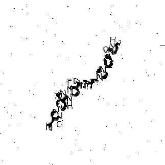 N#Cc1ccc(N2CCc3c(ncnc3Nc3ccc(C(=O)NCCCCN4CCN(c5ccc(N6CCC(=O)NC6=O)cc5)CC4)c(F)n3)C2)nc1Cl